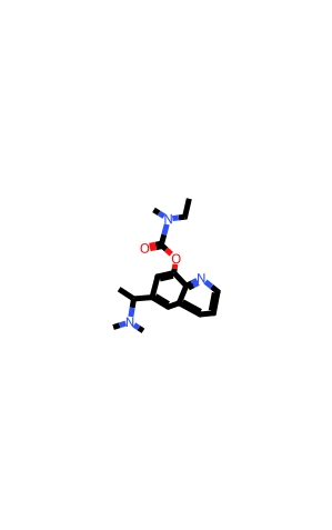 CCN(C)C(=O)Oc1cc(C(C)N(C)C)cc2cccnc12